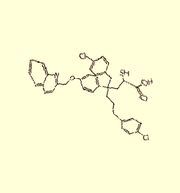 O=C(O)C(S)CC(CCCc1ccc(Cl)cc1)(Cc1ccc(Cl)cc1)c1ccc(OCc2ccc3ccccc3n2)cc1